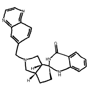 O=C1N[C@]2(CC[C@@H]3CN(Cc4ccc5nccnc5c4)C[C@@H]32)Nc2ccccc21